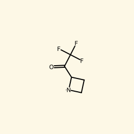 O=C(C1CC[N]1)C(F)(F)F